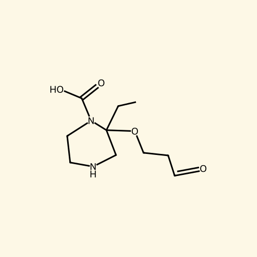 CCC1(OCCC=O)CNCCN1C(=O)O